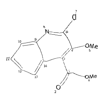 COC(=O)c1c(OC)c(Cl)nc2ccccc12